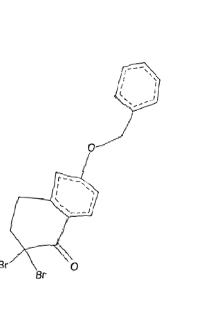 O=C1c2ccc(OCc3ccccc3)cc2CCC1(Br)Br